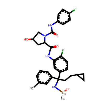 CC(C)(C)[S@@+]([O-])NC(CCC1CC1)(c1cccc(C#N)c1)c1ccc(F)c(NC(=O)C2CC(O)CN2C(=O)Nc2ccc(Cl)cc2)c1